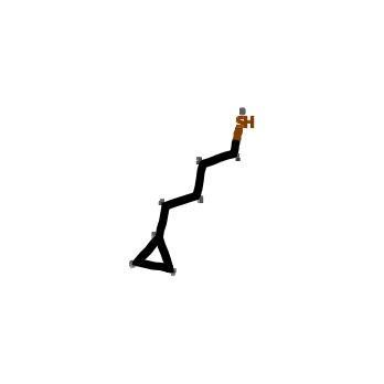 SCCCCC1CC1